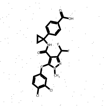 Cn1nc(C(F)F)c(C(=O)NC2(c3ccc(C(=O)O)cc3)CC2)c1Oc1ccc(Cl)c(Cl)c1